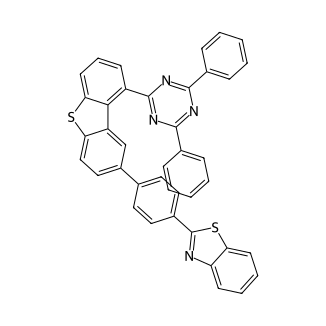 c1ccc(-c2nc(-c3ccccc3)nc(-c3cccc4sc5ccc(-c6ccc(-c7nc8ccccc8s7)cc6)cc5c34)n2)cc1